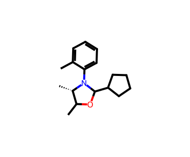 Cc1ccccc1N1C(C2CCCC2)OC(C)[C@@H]1C